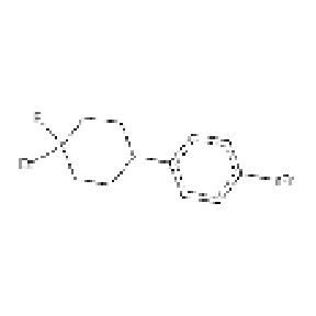 CCCc1ccc(C2CCC(F)(CC)CC2)cc1